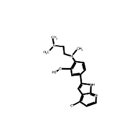 CN(C)CCN(C)c1ccc(-c2cc3c(Cl)ccnc3[nH]2)cc1OS